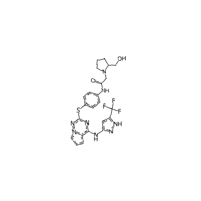 O=C(CN1CCCC1CO)Nc1ccc(Sc2nc(Nc3cc(C(F)(F)F)[nH]n3)c3cccn3n2)cc1